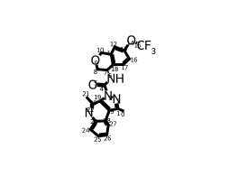 Cc1nn(C(=O)N[C@@H]2COCc3cc(OC(F)(F)F)ccc32)c2c(C)nc3ccccc3c12